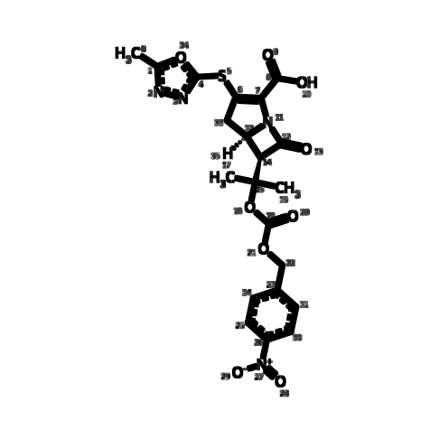 Cc1nnc(SC2=C(C(=O)O)N3C(=O)[C@@H](C(C)(C)OC(=O)OCc4ccc([N+](=O)[O-])cc4)[C@H]3C2)o1